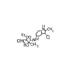 CCO[C@@H](C=O)[C@@](C)(O)C(=O)Nc1ccc2[nH]c(C)c(Cl)c2c1